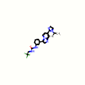 CC(C)n1ccnc1-c1ccn2c(-c3cccc(NC(=O)NCC(F)(F)F)c3)cnc2c1